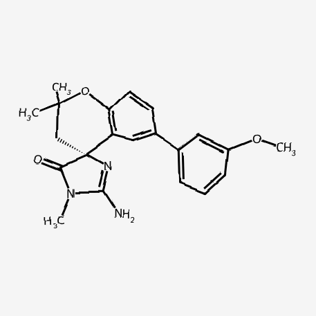 COc1cccc(-c2ccc3c(c2)[C@@]2(CC(C)(C)O3)N=C(N)N(C)C2=O)c1